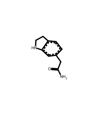 NC(=O)Cc1ccc2c(c1)NCC2